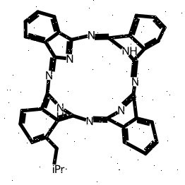 C[C](C)Cc1cccc2c3nc4nc(nc5[nH]c(nc6nc(nc([nH]3)c12)-c1ccccc1-6)c1ccccc51)-c1ccccc1-4